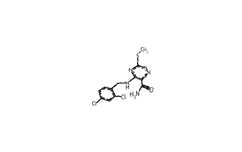 CSc1nnc(C(N)=O)c(NCc2ccc(Cl)cc2Cl)n1